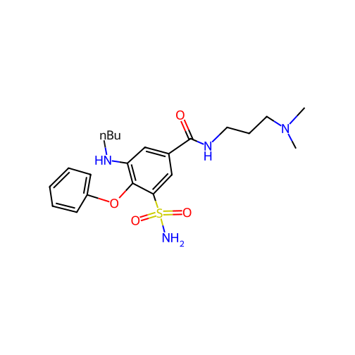 CCCCNc1cc(C(=O)NCCCN(C)C)cc(S(N)(=O)=O)c1Oc1ccccc1